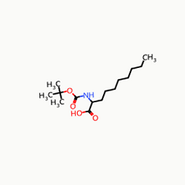 CCCCCCCCC(NC(=O)OC(C)(C)C)C(=O)O